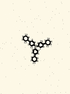 c1cc(P(c2ccc(C3CCCCC3)cc2)c2ccc(C3CCCCC3)cc2)ccc1C1CCCCC1